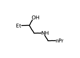 CCCCNCC(O)CC